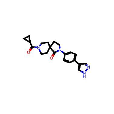 O=C(C1CC1)N1CCC2(CC1)CCN(c1ccc(-c3cn[nH]c3)cc1)C2=O